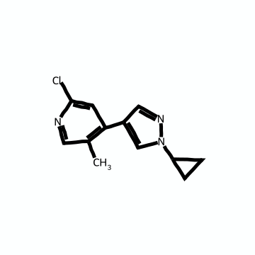 Cc1cnc(Cl)cc1-c1cnn(C2CC2)c1